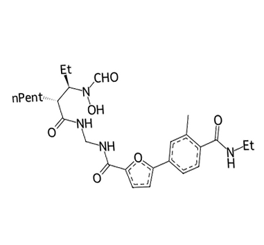 CCCCC[C@@H](C(=O)NCNC(=O)c1ccc(-c2ccc(C(=O)NCC)c(C)c2)o1)[C@@H](CC)N(O)C=O